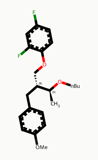 CCCCO[C@@H](C)[C@@H](COc1ccc(F)cc1F)Cc1ccc(OC)cc1